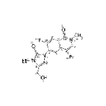 CCn1c(CO)nn(-c2cc3c(C(C)C)cn(C)c(=O)c3cc2F)c1=O